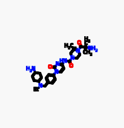 CCN(Cc1ccc(-n2ccc(NC(=O)N3CCN(C(=O)C(C)(C)N)[C@H](C)C3)nc2=O)cc1)[C@H]1CC[C@H](N)CC1